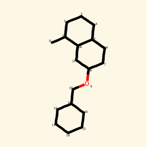 CC1CCCC2CCC(OCC3CCCCC3)CC12